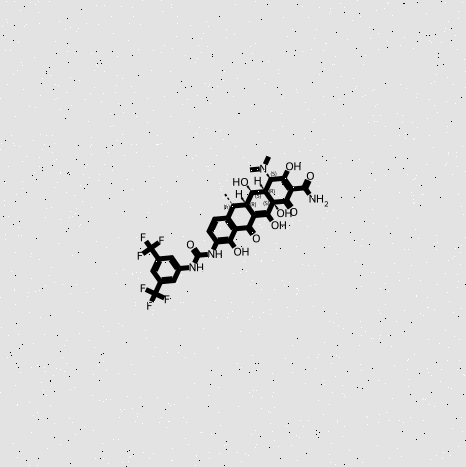 C[C@H]1c2ccc(NC(=O)Nc3cc(C(F)(F)F)cc(C(F)(F)F)c3)c(O)c2C(=O)C2=C(O)[C@]3(O)C(=O)C(C(N)=O)=C(O)[C@@H](N(C)C)[C@@H]3[C@@H](O)[C@@H]21